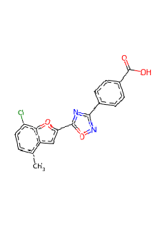 Cc1ccc(Cl)c2oc(-c3nc(-c4ccc(C(=O)O)cc4)no3)cc12